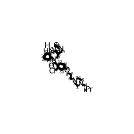 CC(C)CN1CCN(CCCOc2ccc(C(=O)N3Cc4cnn(C)c4Nc4ccccc43)c(Cl)c2)CC1